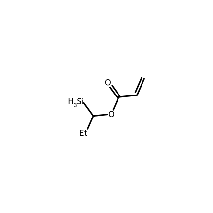 [CH2]CC([SiH3])OC(=O)C=C